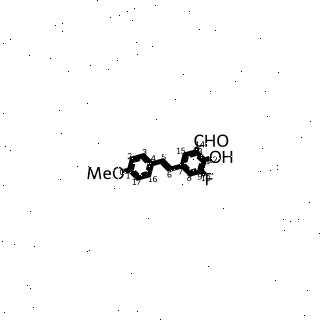 COc1ccc(C=Cc2cc(F)c(O)c(C=O)c2)cc1